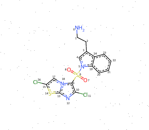 NCCc1cn(S(=O)(=O)c2c(Cl)nc3sc(Cl)cn23)c2ccccc12